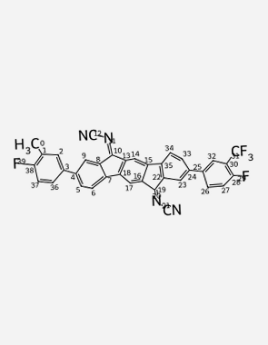 Cc1cc(-c2ccc3c(c2)/c(=N\C#N)c2cc4c(cc23)/c(=N/C#N)c2cc(-c3ccc(F)c(C(F)(F)F)c3)ccc24)ccc1F